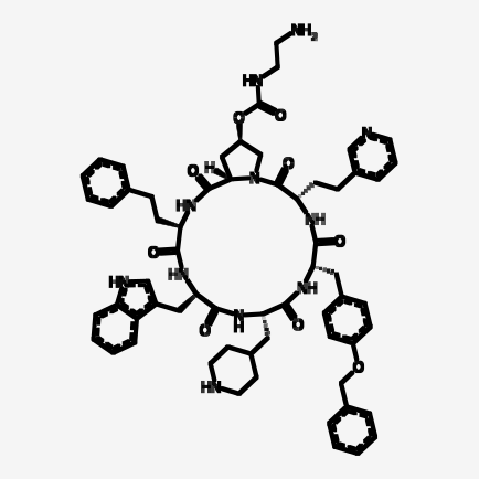 NCCNC(=O)O[C@@H]1C[C@H]2C(=O)N[C@H](CCc3ccccc3)C(=O)N[C@H](Cc3c[nH]c4ccccc34)C(=O)N[C@@H](CC3CCNCC3)C(=O)N[C@@H](Cc3ccc(OCc4ccccc4)cc3)C(=O)N[C@@H](CCc3cccnc3)C(=O)N2C1